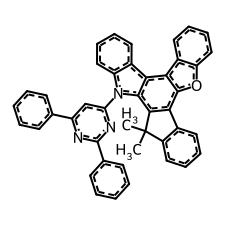 CC1(C)c2ccccc2-c2c1c1c(c3ccccc3n1-c1cc(-c3ccccc3)nc(-c3ccccc3)n1)c1c2oc2ccccc21